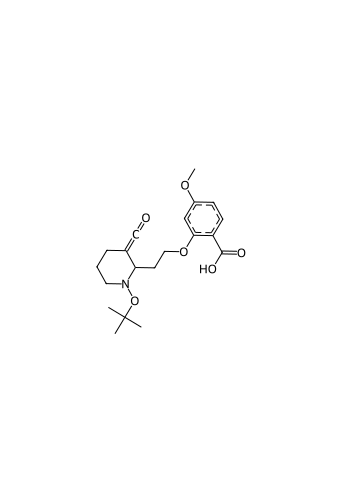 COc1ccc(C(=O)O)c(OCCC2C(=C=O)CCCN2OC(C)(C)C)c1